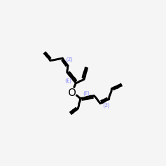 C=C/C=C\C=C(/C=C)O/C(C=C)=C/C=C\C=C